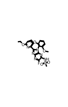 CCOC1=NC(c2nc3nc(F)c(NS(C)(=O)=O)nc3n2-c2c(O)cccc2OC)=C=C=C1